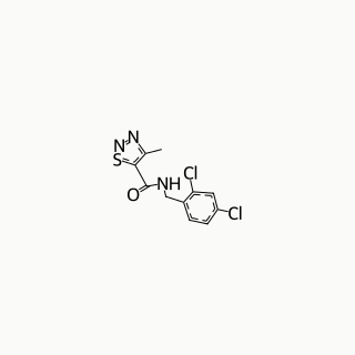 Cc1nnsc1C(=O)NCc1ccc(Cl)cc1Cl